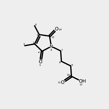 CC1=C(C)C(=O)N(CCCC(=O)O)C1=O